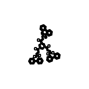 O=C(CCP1(=O)Oc2ccccc2-c2ccccc21)N1CN(C(=O)CCP2(=O)Oc3ccccc3-c3ccccc32)CN(C(=O)CCP2(=O)Oc3ccccc3-c3ccccc32)C1